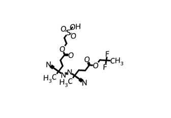 CC(F)(F)COC(=O)CCC(C)(C#N)N=NC(C)(C#N)CCC(=O)OCCS(=O)(=O)O